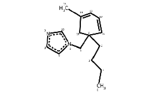 CCCCC1(Cn2ccnc2)C=CC=C(C)C1